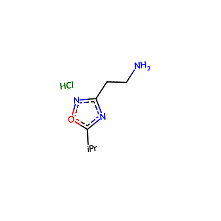 CC(C)c1nc(CCN)no1.Cl